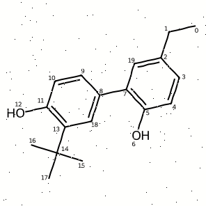 CCc1ccc(O)c(-c2ccc(O)c(C(C)(C)C)c2)c1